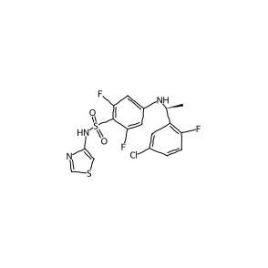 C[C@H](Nc1cc(F)c(S(=O)(=O)Nc2cscn2)c(F)c1)c1cc(Cl)ccc1F